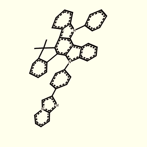 CC1(C)c2ccccc2-c2c1c1c3ccccc3n(-c3ccccc3)c1c1c3ccccc3n(-c3ccc(-c4cn5ccccc5n4)cc3)c21